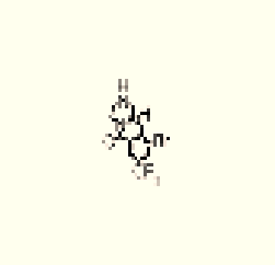 O=C1c2cc(C(F)(F)F)cc(Br)c2C[C@@H]2CNCCN12